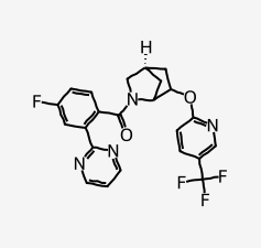 O=C(c1ccc(F)cc1-c1ncccn1)N1C[C@H]2CC(Oc3ccc(C(F)(F)F)cn3)C1C2